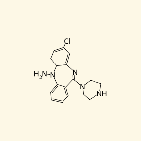 NN1c2ccccc2C(N2CCNCC2)=NC2=CC(Cl)=CCC21